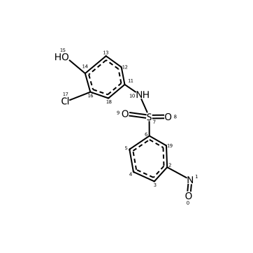 O=Nc1cccc(S(=O)(=O)Nc2ccc(O)c(Cl)c2)c1